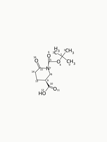 CC(C)(C)OC(=O)N1C[C@@H](C(=O)O)CCC1=O